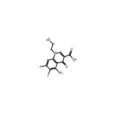 Nc1c(F)c(F)cc2c1c(=O)c(C(=O)O)cn2CCO